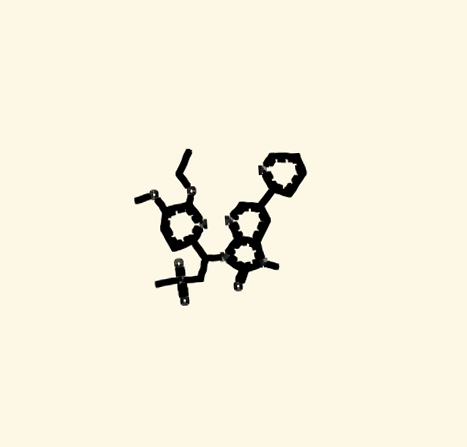 CCOc1nc(C(CS(C)(=O)=O)n2c(=O)n(C)c3cc(-c4ccccn4)cnc32)ccc1OC